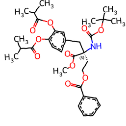 COC(=O)[C@@](CCOC(=O)c1ccccc1)(Cc1ccc(OC(=O)C(C)C)c(OC(=O)C(C)C)c1)NC(=O)OC(C)(C)C